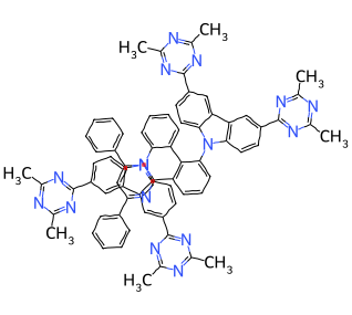 Cc1nc(C)nc(-c2ccc3c(c2)c2cc(-c4nc(C)nc(C)n4)ccc2n3-c2ccccc2-c2c(-c3nc(-c4ccccc4)cc(-c4ccccc4)n3)cccc2-n2c3ccc(-c4nc(C)nc(C)n4)cc3c3cc(-c4nc(C)nc(C)n4)ccc32)n1